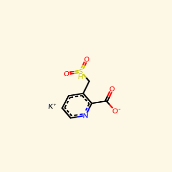 O=C([O-])c1ncccc1C[SH](=O)=O.[K+]